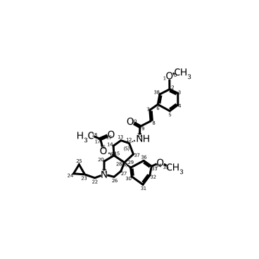 COc1cccc(C=CC(=O)N[C@H]2CC[C@]3(OC(C)=O)CN(CC4CC4)CC[C@@]3(c3cccc(OC)c3)C2)c1